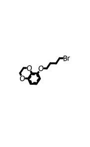 BrCCCCOc1cccc2c1OCCO2